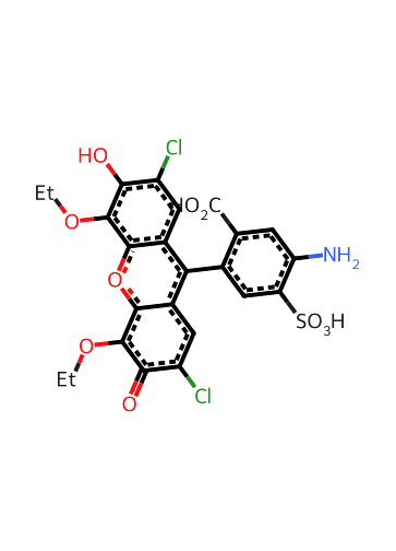 CCOc1c2oc3c(OCC)c(O)c(Cl)cc3c(-c3cc(S(=O)(=O)O)c(N)cc3C(=O)O)c-2cc(Cl)c1=O